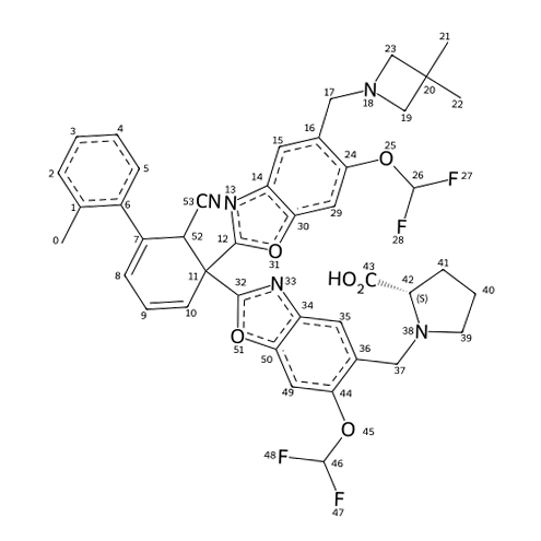 Cc1ccccc1C1=CC=CC(c2nc3cc(CN4CC(C)(C)C4)c(OC(F)F)cc3o2)(c2nc3cc(CN4CCC[C@H]4C(=O)O)c(OC(F)F)cc3o2)C1C#N